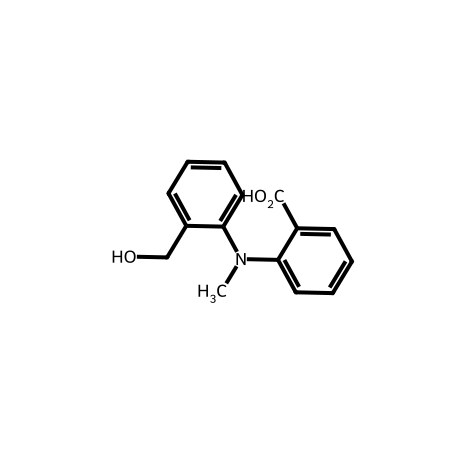 CN(c1ccccc1CO)c1ccccc1C(=O)O